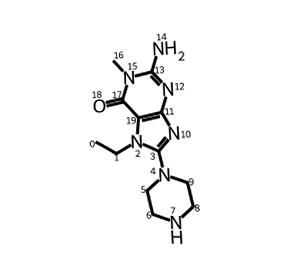 CCn1c(N2CCNCC2)nc2nc(N)n(C)c(=O)c21